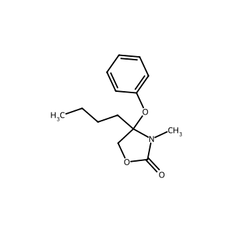 CCCCC1(Oc2ccccc2)COC(=O)N1C